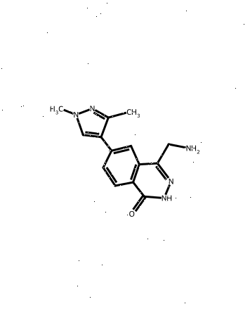 Cc1nn(C)cc1-c1ccc2c(=O)[nH]nc(CN)c2c1